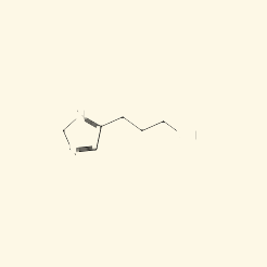 CCCCC1=NCN=C1